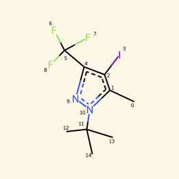 Cc1c(I)c(C(F)(F)F)nn1C(C)(C)C